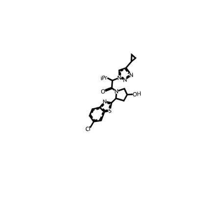 CC(C)C(C(=O)N1CC(O)CC1c1nc2ccc(Cl)cc2s1)n1cc(C2CC2)nn1